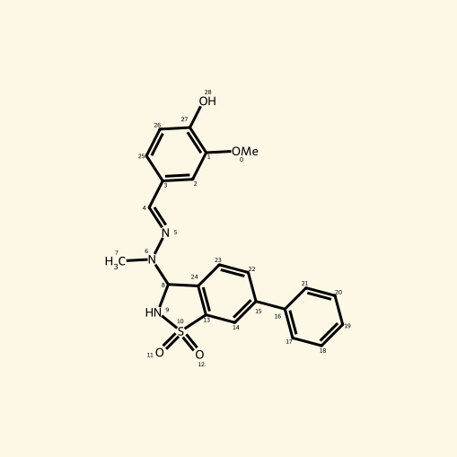 COc1cc(/C=N/N(C)C2NS(=O)(=O)c3cc(-c4ccccc4)ccc32)ccc1O